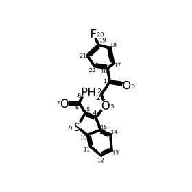 O=C(COc1c(C(=O)P)sc2ccccc12)c1ccc(F)cc1